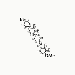 CCc1ccc(-c2ccc(C3CCC(OCc4ccc(OC)c(F)c4F)CC3)c(F)c2F)cc1